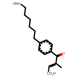 CCCCCCCCCCCCCCCCc1ccc(C(=O)C(C)=CC(=O)O)cc1